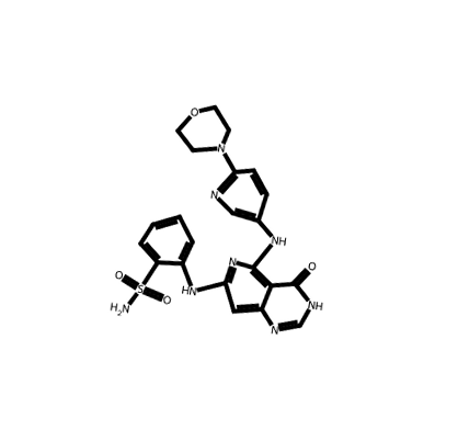 NS(=O)(=O)c1ccccc1Nc1cc2nc[nH]c(=O)c2c(Nc2ccc(N3CCOCC3)nc2)n1